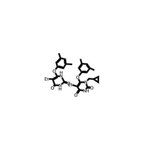 CCc1c(Oc2cc(C)cc(C)c2)[nH]c(=O)[nH]c1=O.CCc1c(Oc2cc(C)cc(C)c2)n(CC2CC2)c(=O)[nH]c1=O